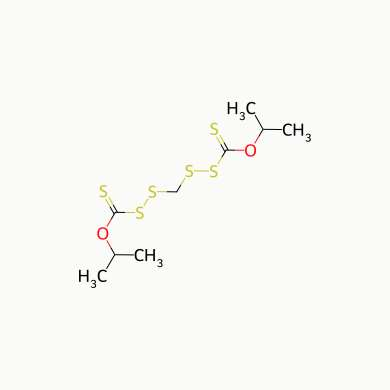 CC(C)OC(=S)SSCSSC(=S)OC(C)C